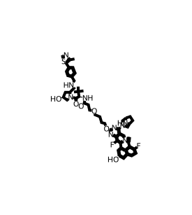 C#Cc1c(F)ccc2cc(O)cc(-c3ncc4c(N5CC6CCC(C5)N6)nc(OCCCCOCCC(=O)N[C@H](C(=O)N5C[C@H](O)CC5CNCc5ccc(-c6scnc6C)cc5)C(C)(C)C)nc4c3F)c12